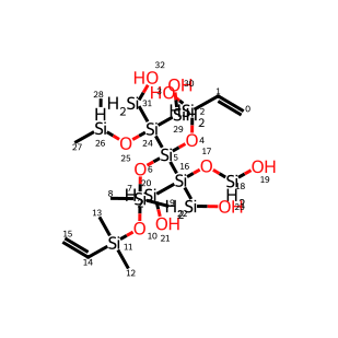 C=C[SiH](O)O[Si](O[Si](C)(C)O[Si](C)(C)C=C)([Si](O[SiH2]O)([SiH2]O)[SiH2]O)[Si](O[SiH](C)C)([SiH2]O)[SiH2]O